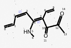 C=C/C=C\C(NC)=C(/C=C)C(=O)C(C)=O